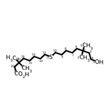 CC(C)(CCO)CCCCCSCCCCCC(C)(C)CC(=O)O